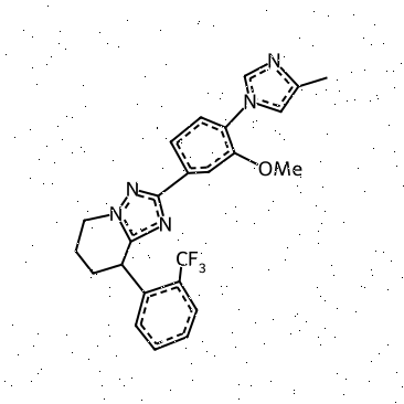 COc1cc(-c2nc3n(n2)CCCC3c2ccccc2C(F)(F)F)ccc1-n1cnc(C)c1